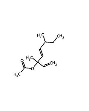 C=CC(C)(C=CC(C)CC)OC(C)=O